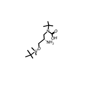 CC(C)(C)N(C[C@H](N)CO[Si](C)(C)C(C)(C)C)C(=O)O